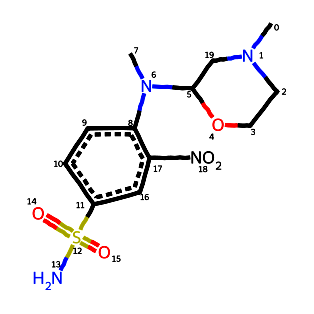 CN1CCOC(N(C)c2ccc(S(N)(=O)=O)cc2[N+](=O)[O-])C1